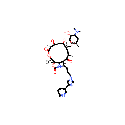 CC[C@H]1OC(=O)[C@H](C)C(=O)[C@H](C)[C@@H](O[C@@H]2O[C@H](C)C[C@H](N(C)C)[C@H]2O)[C@](C)(OC)C[C@@H](C)C(=O)[C@@H]2C(CCCn3cnc(-c4cccnc4)c3)N3C(=O)O[C@@]1(C)C23